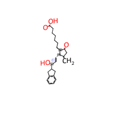 C=C1CC(=O)[C@H](CCCCCCC(=O)O)[C@H]1/C=C/[C@@H](O)C1Cc2ccccc2C1